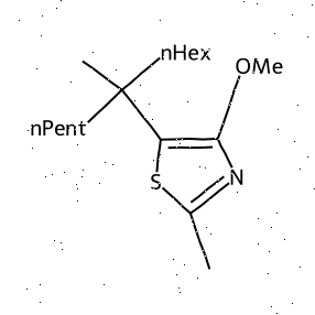 CCCCCCC(C)(CCCCC)c1sc(C)nc1OC